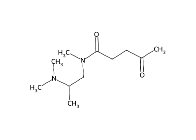 CC(=O)CCC(=O)N(C)CC(C)N(C)C